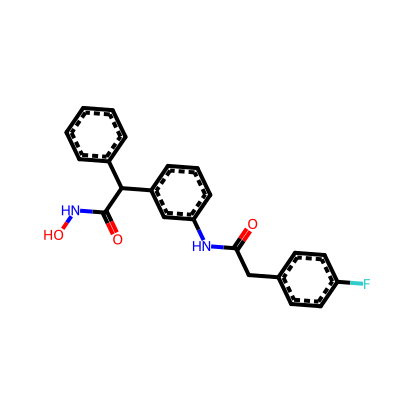 O=C(Cc1ccc(F)cc1)Nc1cccc(C(C(=O)NO)c2ccccc2)c1